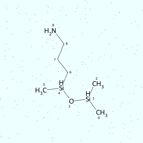 C[SiH](C)O[SiH](C)CCCN